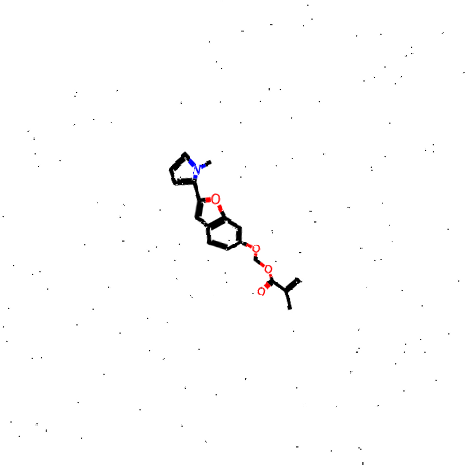 C=C(C)C(=O)OCOc1ccc2cc(-c3cccn3C)oc2c1